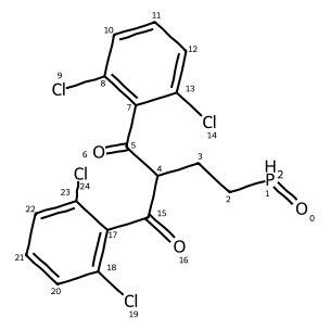 O=[PH2]CCC(C(=O)c1c(Cl)cccc1Cl)C(=O)c1c(Cl)cccc1Cl